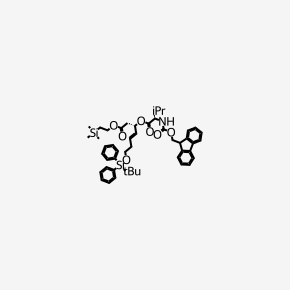 CC(C)[C@H](NC(=O)OCC1c2ccccc2-c2ccccc21)C(=O)O[C@H](/C=C/CCO[Si](c1ccccc1)(c1ccccc1)C(C)(C)C)CC(=O)OCC[Si](C)(C)C